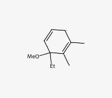 CCC1(OC)C=C[CH]C(C)=C1C